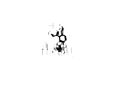 CCn1cc(C=O)c2cc(O[Si](C)(C)C(C)(C)C)ccc21